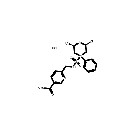 COC(=O)c1ccc(CNS(=O)(=O)[N+]2(c3ccccc3)C[C@@H](C)N[C@@H](C)C2)nc1.Cl